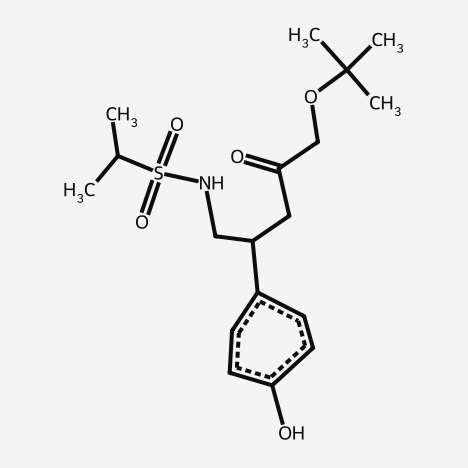 CC(C)S(=O)(=O)NCC(CC(=O)COC(C)(C)C)c1ccc(O)cc1